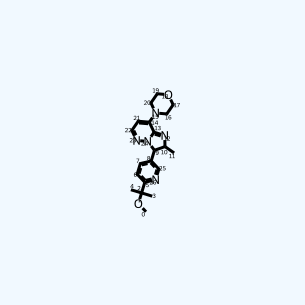 COC(C)(C)c1ccc(C2C(C)N=C3C(N4CCOCC4)=CC=NN32)cn1